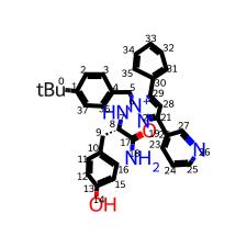 CC(C)(C)c1ccc(C[N+]2(N[C@@H](Cc3ccc(O)cc3)C(N)=O)N=C(c3cccnc3)C=C2c2ccccc2)cc1